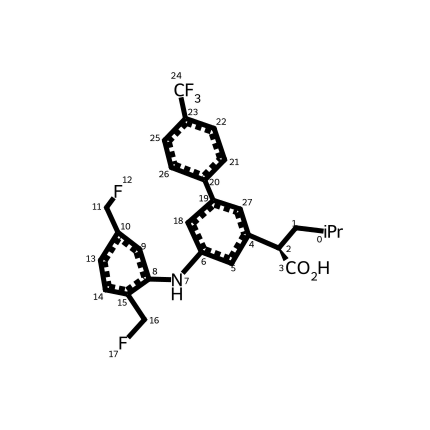 CC(C)C[C@@H](C(=O)O)c1cc(Nc2cc(CF)ccc2CF)cc(-c2ccc(C(F)(F)F)cc2)c1